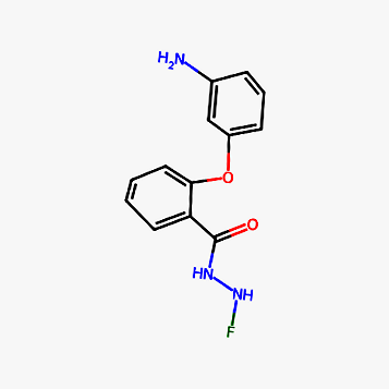 Nc1cccc(Oc2ccccc2C(=O)NNF)c1